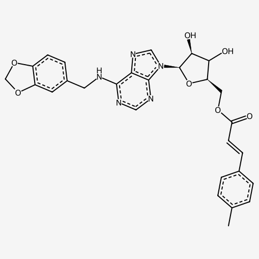 Cc1ccc(/C=C/C(=O)OC[C@H]2O[C@@H](n3cnc4c(NCc5ccc6c(c5)OCO6)ncnc43)[C@@H](O)C2O)cc1